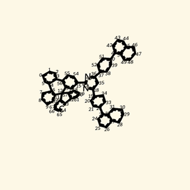 c1ccc2c(c1)-c1ccccc1C1(c3cc(-c4nc(-c5ccc(-c6cccc7ccccc67)cc5)cc(-c5ccc(-c6cccc7ccccc67)cc5)n4)ccc3-2)c2ccccc2-c2ccccc21